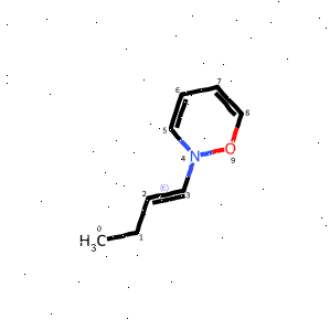 CC/C=C/N1C=CC=CO1